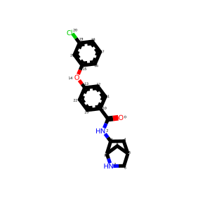 O=C(NC1CC2CNC1C2)c1ccc(Oc2cccc(Cl)c2)cc1